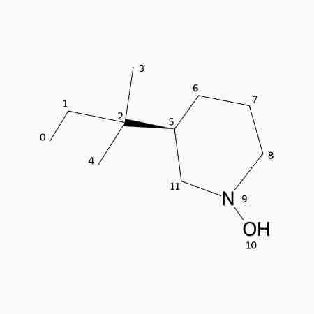 CCC(C)(C)[C@H]1CCCN(O)C1